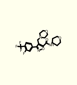 O=C(NC1CCOCC1)c1onc(-c2ccc(C(F)(F)F)c(F)c2)c1CN1CCOCC1